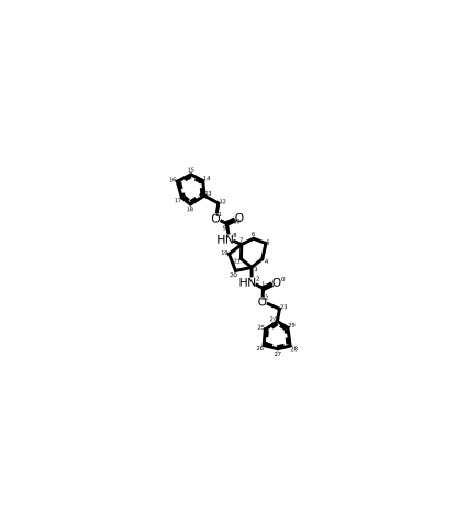 O=C(NC12CCCC(NC(=O)OCc3ccccc3)(CC1)C2)OCc1ccccc1